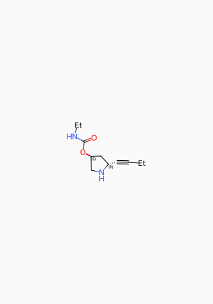 CCC#C[C@H]1C[C@H](OC(=O)NCC)CN1